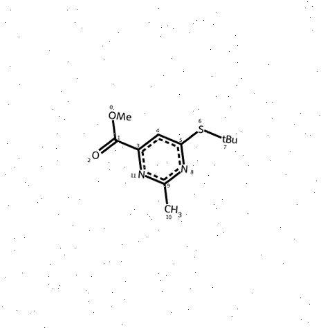 COC(=O)c1cc(SC(C)(C)C)nc(C)n1